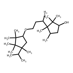 CC(C)C1(C)CC(OCCC(C)C2(C)C(C)CC(O)C2(C)C)C(C)(C)C1(C)C